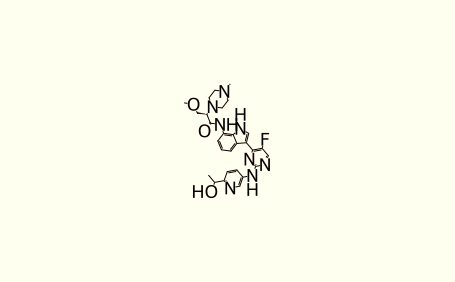 COC[C@H](C(=O)Nc1cccc2c(-c3nc(Nc4ccc(C(C)O)nc4)ncc3F)c[nH]c12)N1CCN(C)CC1